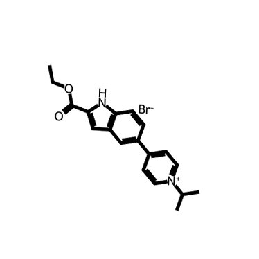 CCOC(=O)c1cc2cc(-c3cc[n+](C(C)C)cc3)ccc2[nH]1.[Br-]